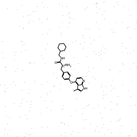 Cc1c[nH]c2nccc(Oc3ccc(C[C@H](N)C(=O)NCC4CCCCC4)cc3)c12